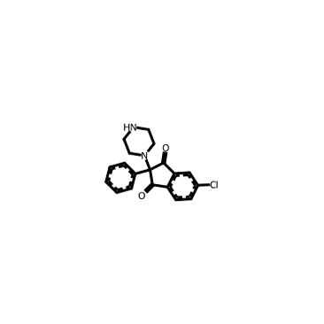 O=C1c2ccc(Cl)cc2C(=O)C1(c1ccccc1)N1CCNCC1